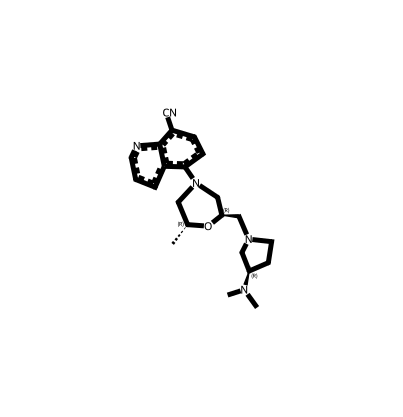 C[C@@H]1CN(c2ccc(C#N)c3ncccc23)C[C@@H](CN2CC[C@@H](N(C)C)C2)O1